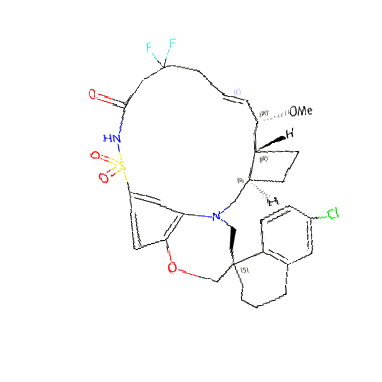 CO[C@H]1/C=C/CC(F)(F)CC(=O)NS(=O)(=O)c2ccc3c(c2)N(C[C@@H]2CC[C@H]21)C[C@@]1(CCCc2cc(Cl)ccc21)CO3